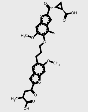 COc1cc2sc(C(=O)CC(C)C(=O)O)cc2cc1CCCOc1c(OC)cc2sc(C(=O)[C@@H]3C[C@H]3C(=O)O)cc2c1F